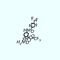 NC1=NC2(c3cc(NC(=O)c4cnc(C(F)F)cn4)ccc3F)CO[C@H](C(F)(F)F)C2CO1